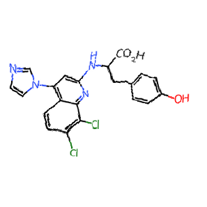 O=C(O)C(Cc1ccc(O)cc1)Nc1cc(-n2ccnc2)c2ccc(Cl)c(Cl)c2n1